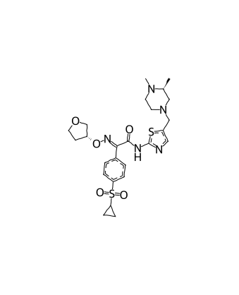 C[C@H]1CN(Cc2cnc(NC(=O)/C(=N/O[C@@H]3CCOC3)c3ccc(S(=O)(=O)C4CC4)cc3)s2)CCN1C